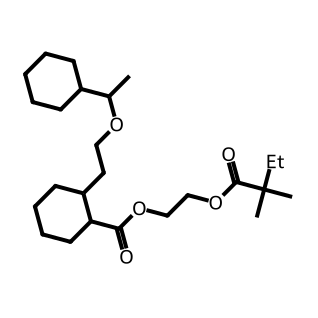 CCC(C)(C)C(=O)OCCOC(=O)C1CCCCC1CCOC(C)C1CCCCC1